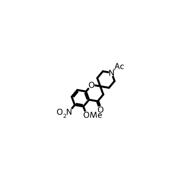 COc1c([N+](=O)[O-])ccc2c1C(=O)CC1(CCN(C(C)=O)CC1)O2